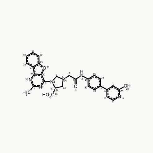 Cc1nc(N2C[C@@H](CC(=O)Nc3ccc(-c4ccnc(O)c4)cc3)C[C@H]2C(=O)O)c2oc3ccccc3c2n1